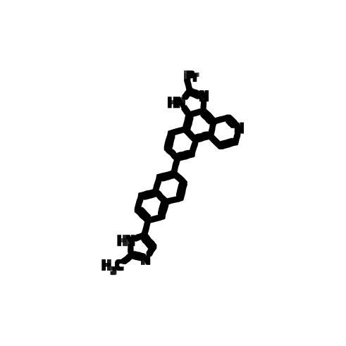 Cc1ncc(-c2ccc3cc(-c4ccc5c(c4)c4ccncc4c4nc(C(C)C)[nH]c54)ccc3c2)[nH]1